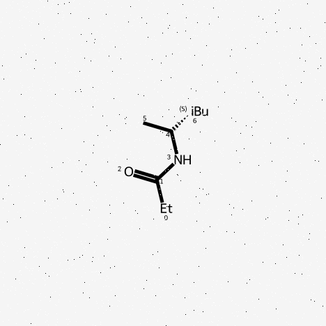 CCC(=O)NC(C)[C@@H](C)CC